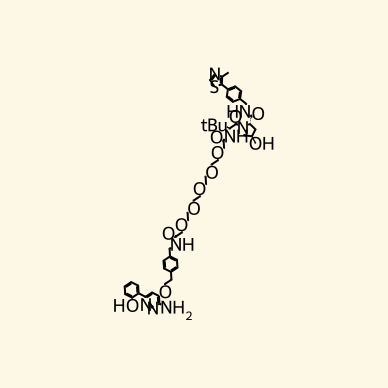 Cc1ncsc1-c1ccc(CNC(=O)[C@@H]2C[C@@H](O)CN2C(=O)[C@@H](NC(=O)COCCOCCOCCOCCOCC(=O)NCc2ccc(CCOc3cc(-c4ccccc4O)nnc3N)cc2)C(C)(C)C)cc1